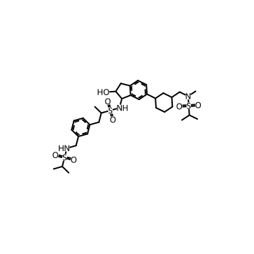 CC(C)S(=O)(=O)NCc1cccc(CC(C)S(=O)(=O)NC2c3cc(C4CCCC(CN(C)S(=O)(=O)C(C)C)C4)ccc3CC2O)c1